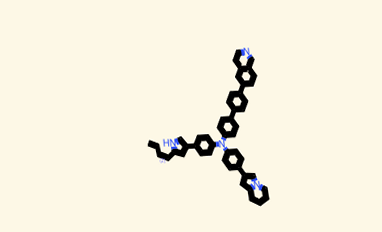 C=C/C=C\c1cc(-c2ccc(N(c3ccc(-c4ccc(-c5ccc6cnccc6c5)cc4)cc3)c3ccc(-c4cc5ccccn5c4)cc3)cc2)c[nH]1